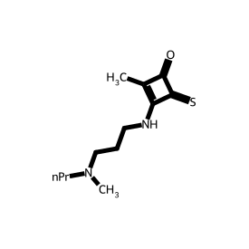 CCCN(C)CCCNc1c(C)c(=O)c1=S